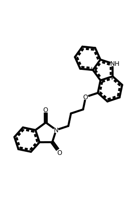 O=C1c2ccccc2C(=O)N1CCCOc1cccc2[nH]c3ccccc3c12